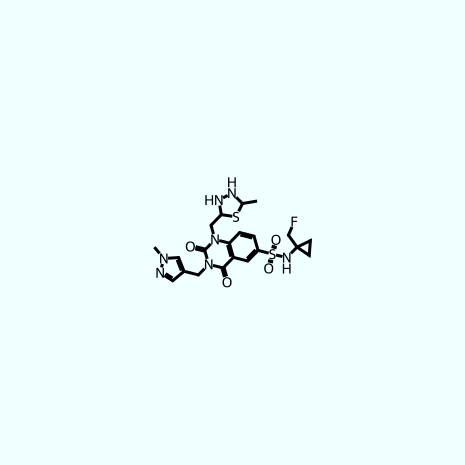 CC1NNC(Cn2c(=O)n(Cc3cnn(C)c3)c(=O)c3cc(S(=O)(=O)NC4(CF)CC4)ccc32)S1